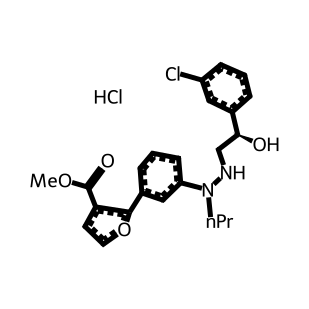 CCCN(NC[C@H](O)c1cccc(Cl)c1)c1cccc(-c2occc2C(=O)OC)c1.Cl